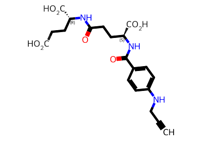 C#CCNc1ccc(C(=O)N[C@@H](CCC(=O)N[C@H](CCC(=O)O)C(=O)O)C(=O)O)cc1